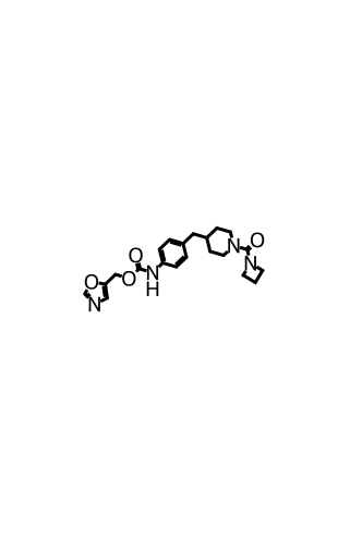 O=C(Nc1ccc(CC2CCN(C(=O)N3CCC3)CC2)cc1)OCc1cnco1